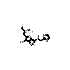 N[C@@H](CF)Cc1sc2c(NCc3nccs3)snc2c1Br